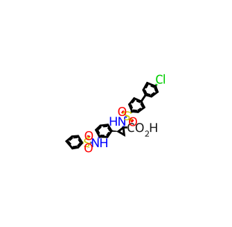 O=C(O)C1(NS(=O)(=O)c2ccc(-c3ccc(Cl)cc3)cc2)C[C@H]1c1cccc(NS(=O)(=O)c2ccccc2)c1